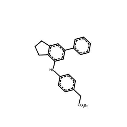 CCOC(=O)Cc1ccc(Nc2cc(-c3ccccc3)cc3c2CCC3)cc1